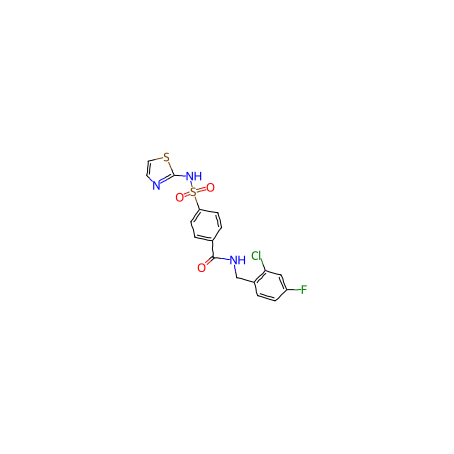 O=C(NCc1ccc(F)cc1Cl)c1ccc(S(=O)(=O)Nc2nccs2)cc1